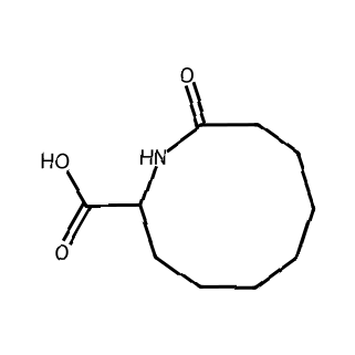 O=C1CCCCCCCC(C(=O)O)N1